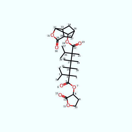 CC(C)C(C)(C(=O)OC1CCOC1=O)C(C)(C)C(C)(C)C(C)(C(=O)OC1C2CC3C(=O)OC1C3C2)C(C)C